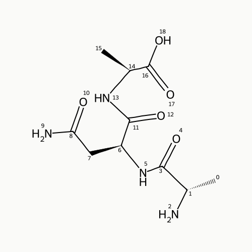 C[C@H](N)C(=O)N[C@@H](CC(N)=O)C(=O)N[C@@H](C)C(=O)O